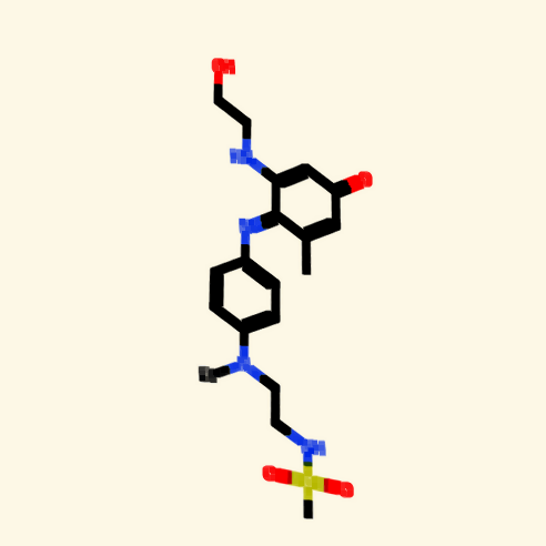 CCN(CCNS(C)(=O)=O)c1ccc(N=C2C(C)=CC(=O)C=C2NCCO)cc1